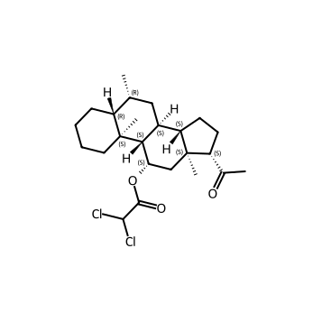 CC(=O)[C@H]1CC[C@H]2[C@@H]3C[C@@H](C)[C@H]4CCCC[C@]4(C)[C@H]3[C@@H](OC(=O)C(Cl)Cl)C[C@]12C